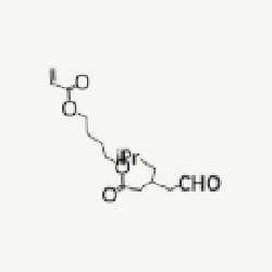 C=CC(=O)OCCCCOC(=O)CC(CC=O)CC(C)C